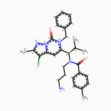 Cc1ccc(C(=O)N(CCCN)[C@@H](c2cc3c(Cl)c(C)nn3c(=O)n2Cc2ccccc2)C(C)C)cc1